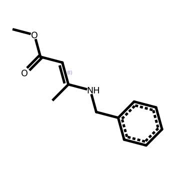 COC(=O)/C=C(\C)NCc1ccccc1